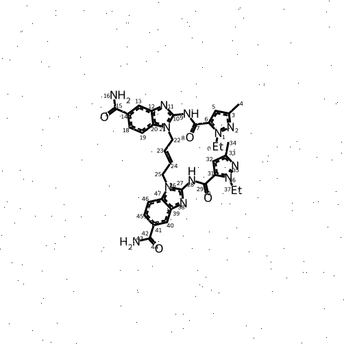 CCn1nc(C)cc1C(=O)Nc1nc2cc(C(N)=O)ccc2n1CC=CCn1c(NC(=O)c2cc(C)nn2CC)nc2cc(C(N)=O)ccc21